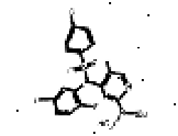 Cc1cnc(N(C(=O)O)C(C)(C)C)cc1C(c1cc(F)ccc1F)S(=O)(=O)c1ccc(Cl)cc1